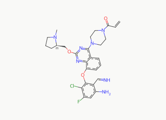 C=CC(=O)N1CCN(c2nc(OC[C@H]3CCCN3C)nc3c(Oc4c(Cl)c(F)cc(N)c4C=N)cccc23)CC1